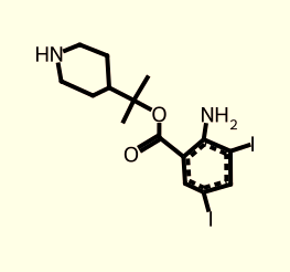 CC(C)(OC(=O)c1cc(I)cc(I)c1N)C1CCNCC1